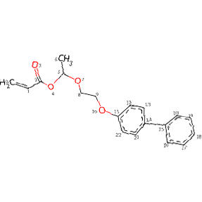 C=CC(=O)OC(C)OCCOc1ccc(-c2ccccc2)cc1